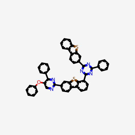 c1ccc(Oc2cnc(-c3ccc4c(c3)sc3c(-c5nc(-c6ccccc6)nc(-c6ccc7c(c6)sc6ccccc67)n5)cccc34)nc2-c2ccccc2)cc1